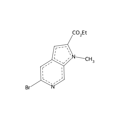 CCOC(=O)c1cc2cc(Br)ncc2n1C